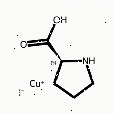 O=C(O)[C@@H]1CCCN1.[Cu+].[I-]